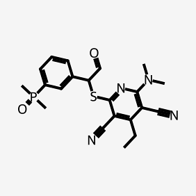 CCc1c(C#N)c(SC(C=O)c2cccc(P(C)(C)=O)c2)nc(N(C)C)c1C#N